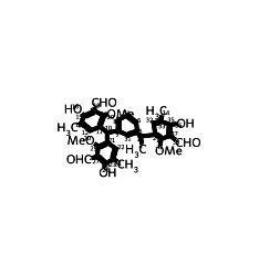 COc1c(C(C)c2cccc(C(c3cc(C)c(O)c(C=O)c3OC)c3cc(C)c(O)c(C=O)c3OC)c2)cc(C)c(O)c1C=O